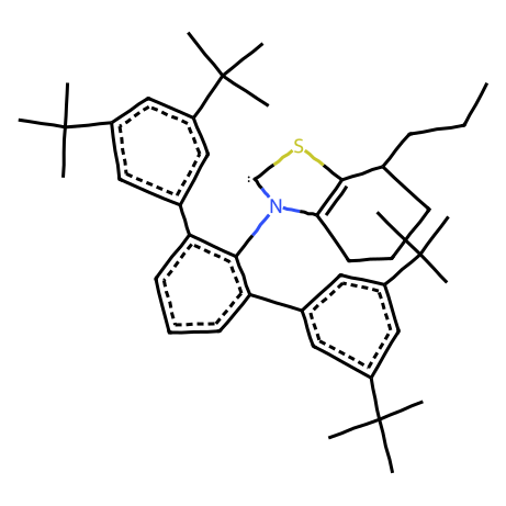 CCCC1CCCC2=C1S[C]N2c1c(-c2cc(C(C)(C)C)cc(C(C)(C)C)c2)cccc1-c1cc(C(C)(C)C)cc(C(C)(C)C)c1